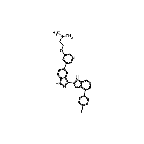 CN(C)CCOc1cncc(-c2ccc3[nH]nc(-c4cc5c(-c6ccc(F)cc6)cccc5[nH]4)c3c2)c1